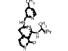 Cc1ccnc(Nc2cc3cc[nH]c(=O)c3c(NC(C)C(C)C)n2)c1